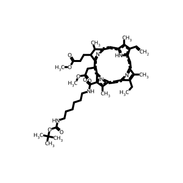 C=Cc1c(C)c2cc3nc(c(CC(=O)OC)c4[nH]c(cc5nc(cc1[nH]2)C(C)=C5CC)c(C)c4C(=O)NCCCCCCNC(=O)OC(C)(C)C)C(CCC(=O)OC)C3C